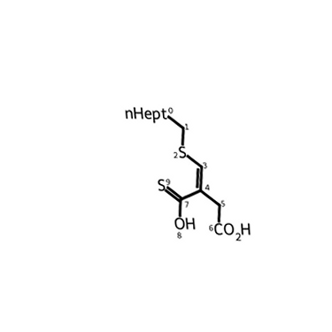 CCCCCCCCSC=C(CC(=O)O)C(O)=S